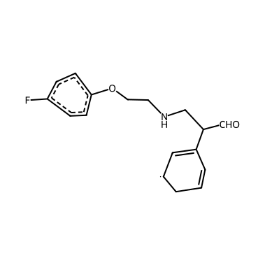 O=CC(CNCCOc1ccc(F)cc1)C1=C[CH]CC=C1